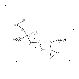 CC(SSCC1(CC(=O)O)CC1)(C(=O)O)C1CC1